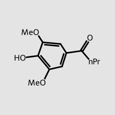 CCCC(=O)c1cc(OC)c(O)c(OC)c1